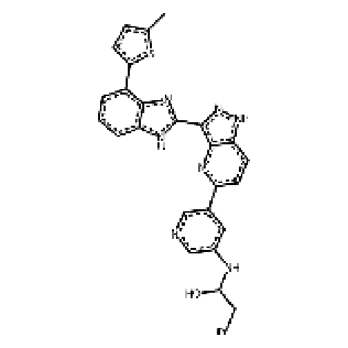 Cc1ccc(-c2cccc3[nH]c(-c4n[nH]c5ccc(-c6cncc(NC(O)CC(C)C)c6)nc45)nc23)s1